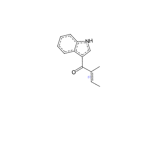 C/C=C(\C)C(=O)c1c[nH]c2ccccc12